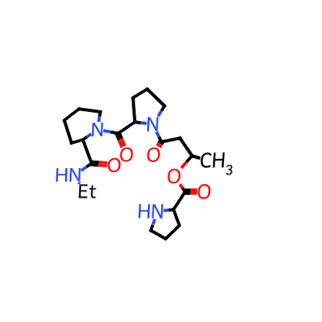 CCNC(=O)C1CCCCN1C(=O)C1CCCN1C(=O)CC(C)OC(=O)C1CCCN1